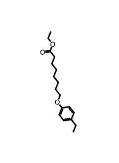 CCOC(=O)CCCCCCCOc1ccc(CC)cc1